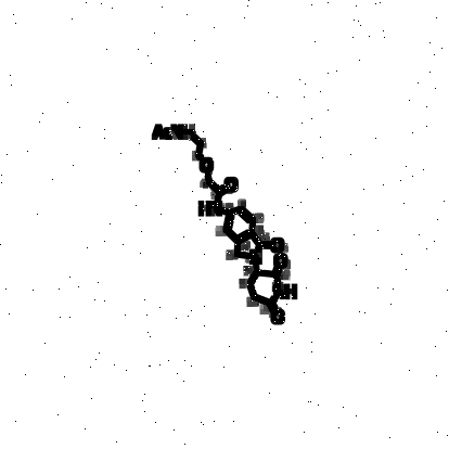 CC(=O)NCCOCC(=O)Nc1ccc2c(c1)CN(C1CCC(=O)NC1=O)C2=O